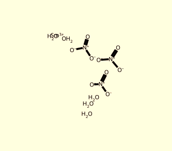 O.O.O.O.O.O=[N+]([O-])[O-].O=[N+]([O-])[O-].O=[N+]([O-])[O-].[Sm+3]